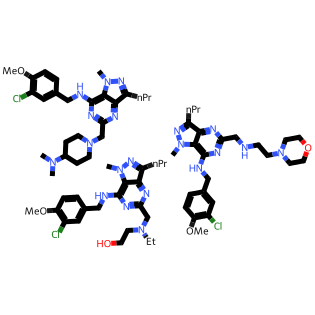 CCCc1nn(C)c2c(NCc3ccc(OC)c(Cl)c3)nc(CN(CC)CCO)nc12.CCCc1nn(C)c2c(NCc3ccc(OC)c(Cl)c3)nc(CN3CCC(N(C)C)CC3)nc12.CCCc1nn(C)c2c(NCc3ccc(OC)c(Cl)c3)nc(CNCCN3CCOCC3)nc12